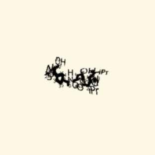 CC(NC(=O)C1CC(O)CN1C(=O)C(c1cc([C@@H](C)C(C)C)no1)C(C)C)c1ccc(-c2scnc2CO)cc1